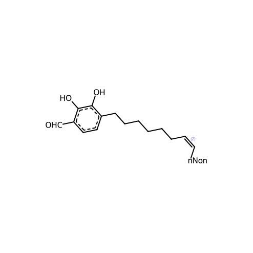 CCCCCCCCC/C=C\CCCCCCc1ccc(C=O)c(O)c1O